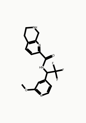 COc1cc(C(NC(=O)c2ccc3c(n2)CNCC3)C(F)(F)F)ccn1